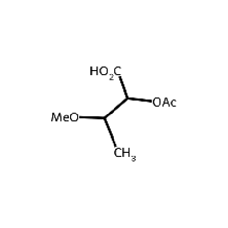 COC(C)C(OC(C)=O)C(=O)O